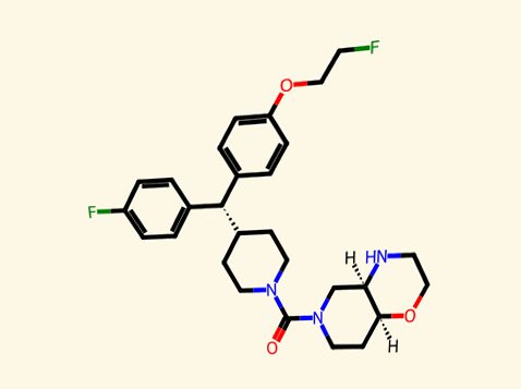 O=C(N1CCC([C@H](c2ccc(F)cc2)c2ccc(OCCF)cc2)CC1)N1CC[C@@H]2OCCN[C@@H]2C1